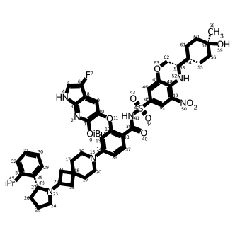 CC(C)COc1nc2[nH]cc(F)c2cc1Oc1cc(N2CCC3(CC2)CC(N2CCC[C@@H]2c2ccccc2C(C)C)C3)ccc1C(=O)NS(=O)(=O)c1cc2c(c([N+](=O)[O-])c1)N[C@@H]([C@H]1CC[C@](C)(O)CC1)CO2